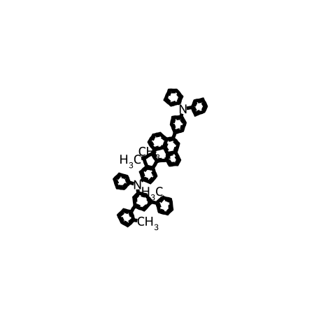 Cc1ccccc1-c1cc(-c2ccccc2C)cc(N(c2ccccc2)c2ccc3c(c2)C(C)(C)c2c-3c3cccc4cc(-c5ccc(N(c6ccccc6)c6ccccc6)cc5)c5cccc2c5c43)c1